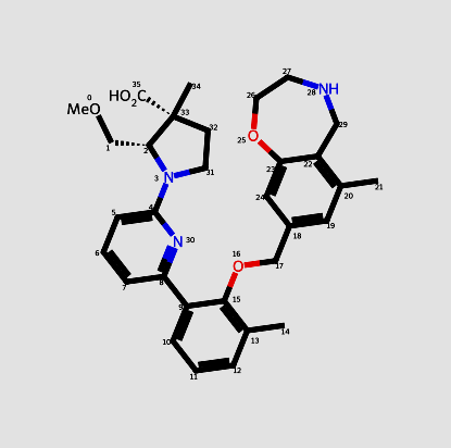 COC[C@H]1N(c2cccc(-c3cccc(C)c3OCc3cc(C)c4c(c3)OCCNC4)n2)CC[C@@]1(C)C(=O)O